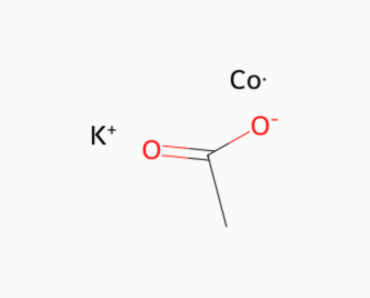 CC(=O)[O-].[Co].[K+]